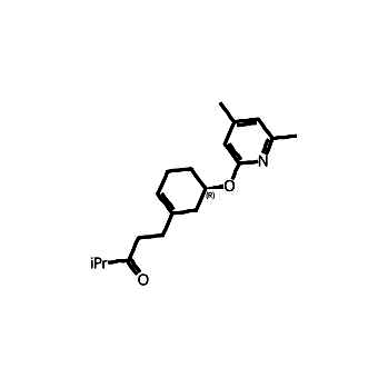 Cc1cc(C)nc(O[C@@H]2CCC=C(CCC(=O)C(C)C)C2)c1